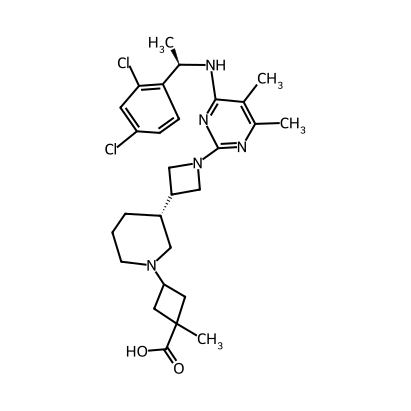 Cc1nc(N2CC([C@H]3CCCN(C4CC(C)(C(=O)O)C4)C3)C2)nc(N[C@H](C)c2ccc(Cl)cc2Cl)c1C